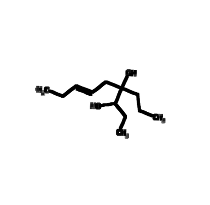 [CH2]C/C=C/CC(O)(CCC)C(O)CC